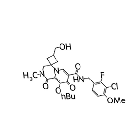 CCCCOc1c2n(cc(C(=O)NCc3ccc(OC)c(Cl)c3F)c1=O)C1(CC(CO)C1)CN(C)C2=O